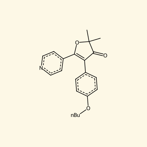 CCCCOc1ccc(C2=C(c3ccncc3)OC(C)(C)C2=O)cc1